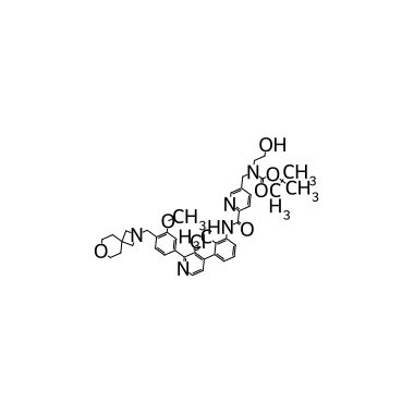 COc1cc(-c2nccc(-c3cccc(NC(=O)c4ccc(CN(CCO)C(=O)OC(C)(C)C)cn4)c3C)c2Cl)ccc1CN1CC2(CCOCC2)C1